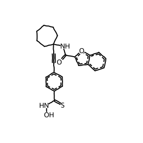 O=C(NC1(C#Cc2ccc(C(=S)NO)cc2)CCCCCC1)c1cc2ccccc2o1